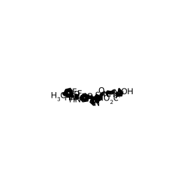 Cc1ccc(F)c(NC(=O)Nc2ccc(Oc3ccnc4cc(C(=O)NCCCN5C[C@H](O)C[C@H]5C(=O)O)sc34)cc2F)c1